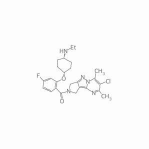 CCN[C@H]1CC[C@@H](Oc2cc(F)ccc2C(=O)N2Cc3nn4c(C)c(Cl)c(C)nc4c3C2)CC1